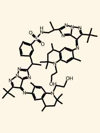 Cc1cc2c(cc1/N=C1/C(C(C)(C)C)=Nn3nc(C(C)CNS(=O)(=O)c4cccc(C(C)c5nc6n(n5)N=C(C(C)(C)C)/C6=N/c5cc6c(cc5C)N(CCO)C(C)(C)CC6C)c4)nc31)C(C)CC(C)(C)N2CCO